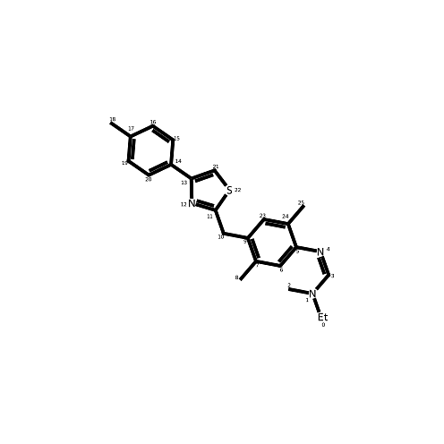 CCN(C)/C=N\c1cc(C)c(Cc2nc(-c3ccc(C)cc3)cs2)cc1C